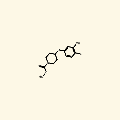 CC(C)(C)OC(=O)N1CCC(Oc2ccc(Cl)c(O)c2)CC1